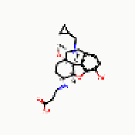 CO[C@@]12CC[C@@H](NCCC(=O)O)[C@@H]3Oc4c(O)ccc5c4[C@@]31CCN(CC1CC1)C2C5